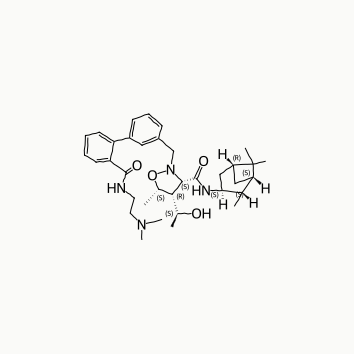 C[C@@H]1[C@@H](NC(=O)[C@@H]2[C@H]([C@H](C)O)[C@H](C)ON2Cc2cccc(-c3ccccc3C(=O)NCCN(C)C)c2)C[C@H]2C[C@@H]1C2(C)C